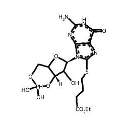 CCOC(=O)CCCSc1nc2c(=O)[nH]c(N)nc2n1[C@@H]1OC2CO[PH](O)(O)O[C@H]2C1O